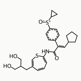 O=C(NC1=CC=CC(CC(CO)CO)=CS1)/C(=C/C1CCCC1)c1ccc([S+]([O-])C2CC2)cc1